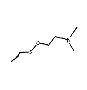 CCSOCCN(C)C